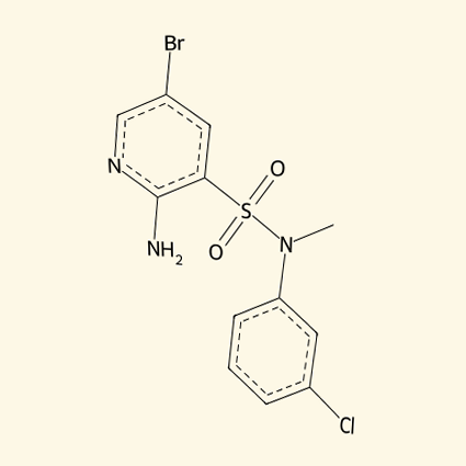 CN(c1cccc(Cl)c1)S(=O)(=O)c1cc(Br)cnc1N